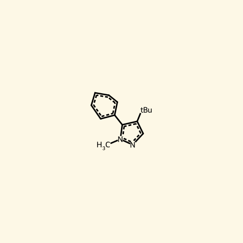 Cn1ncc(C(C)(C)C)c1-c1ccccc1